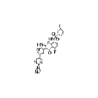 O=C(c1c(F)ccc(NS(=O)(=O)c2cccc(F)c2)c1F)c1c[nH]c2ncc(-c3cnc(-n4ccnc4)nc3)cc12